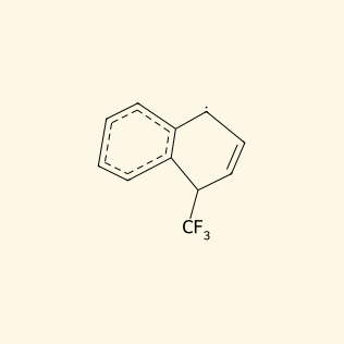 FC(F)(F)C1C=C[CH]c2ccccc21